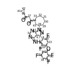 Nc1ncnc2c1c(-c1ccc(Oc3c(F)c(F)cc(F)c3F)cc1F)nn2C1CCCCCC(C(=O)CC(=O)C2CC2)C1